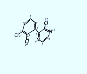 Clc1cccc(-c2nccnc2Cl)c1Cl